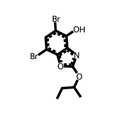 CCC(C)Oc1nc2c(O)c(Br)cc(Br)c2o1